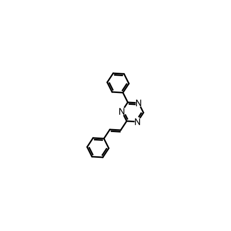 C(=Cc1ncnc(-c2ccccc2)n1)c1ccccc1